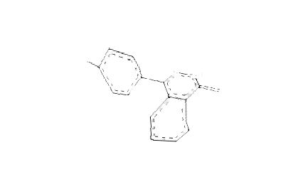 O=c1[nH]nc(-c2ccc(O)cc2)c2ccccc12